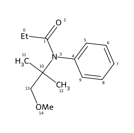 CCC(=O)N(c1ccccc1)C(C)(C)COC